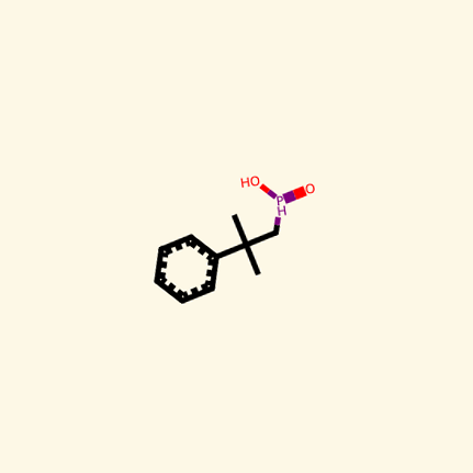 CC(C)(C[PH](=O)O)c1ccccc1